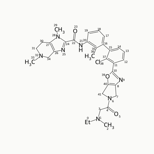 CCN(C)CC(=O)N1Cc2nc(-c3cccc(-c4cccc(NC(=O)c5nc6c(n5C)CCN(C)C6)c4C)c3Cl)oc2C1